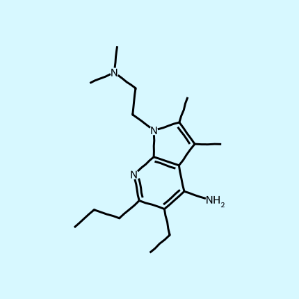 CCCc1nc2c(c(C)c(C)n2CCN(C)C)c(N)c1CC